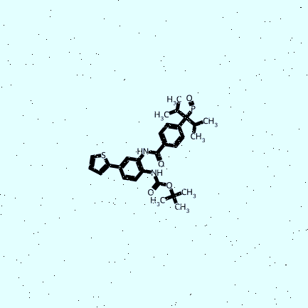 CC(C)C(P=O)(c1ccc(C(=O)Nc2cc(-c3cccs3)ccc2NC(=O)OC(C)(C)C)cc1)C(C)C